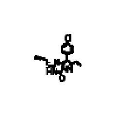 C#CCSc1nc2c(-c3ccc(Cl)cc3)c(CC)nn2c(=O)[nH]1